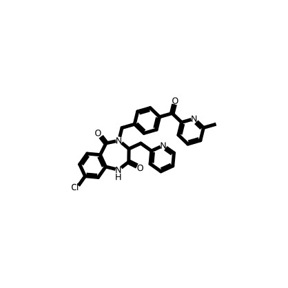 Cc1cccc(C(=O)c2ccc(CN3C(=O)c4ccc(Cl)cc4NC(=O)C3Cc3ccccn3)cc2)n1